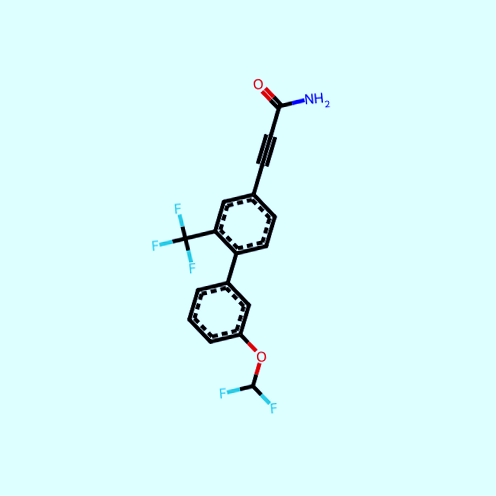 NC(=O)C#Cc1ccc(-c2cccc(OC(F)F)c2)c(C(F)(F)F)c1